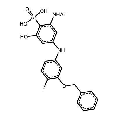 CC(=O)Nc1cc(Nc2ccc(F)c(OCc3ccccc3)c2)cc(O)c1[As](=O)(O)O